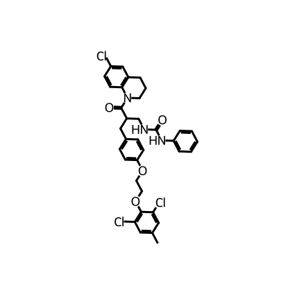 Cc1cc(Cl)c(OCCOc2ccc(CC(CNC(=O)Nc3ccccc3)C(=O)N3CCCc4cc(Cl)ccc43)cc2)c(Cl)c1